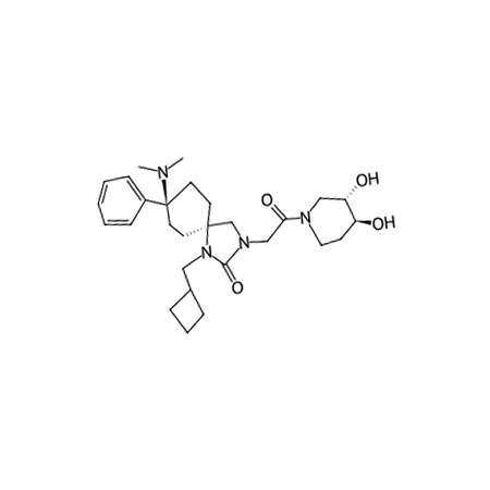 CN(C)[C@]1(c2ccccc2)CC[C@]2(CC1)CN(CC(=O)N1CC[C@H](O)[C@@H](O)C1)C(=O)N2CC1CCC1